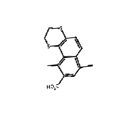 Cc1cc(C(=O)O)c(C)c2c3c(ccc12)SCCS3